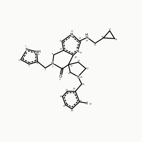 O=C1N(Cc2ccn[nH]2)Cc2cnc(NCC3CC3)nc2C12CCN(Cc1ccccc1F)C2